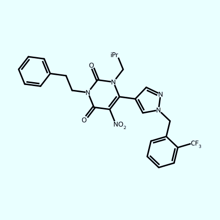 CC(C)Cn1c(-c2cnn(Cc3ccccc3C(F)(F)F)c2)c([N+](=O)[O-])c(=O)n(CCc2ccccc2)c1=O